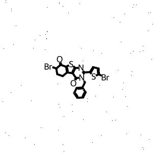 O=C1c2sc3nc(-c4ccc(Br)s4)n(Cc4ccccc4)c(=O)c3c2CCC1Br